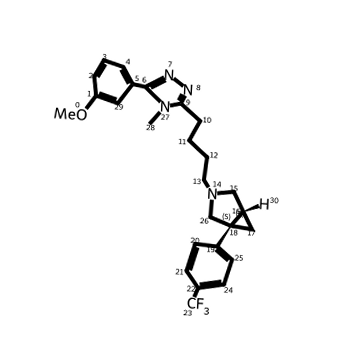 COc1cccc(-c2nnc(CCCCN3C[C@@H]4C[C@]4(c4ccc(C(F)(F)F)cc4)C3)n2C)c1